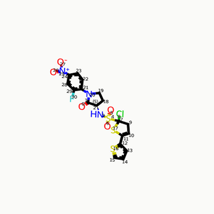 O=C1[C@@H](NS(=O)(=O)C2(Cl)CC=C(c3cccs3)S2)CCN1c1ccc([N+](=O)[O-])cc1F